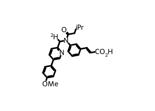 [2H]C(c1ccc(-c2ccc(OC)cc2)cn1)N(C(=O)CC(C)C)c1cccc(C=CC(=O)O)c1